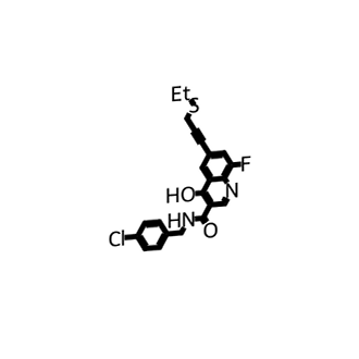 CCSCC#Cc1cc(F)c2ncc(C(=O)NCc3ccc(Cl)cc3)c(O)c2c1